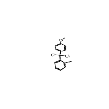 COc1ccc(C(Cl)(Cl)c2ccccc2C)cc1